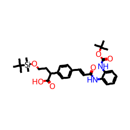 CC(C)(C)OC(=O)Nc1ccccc1NC(=O)C=Cc1ccc(C(CCO[Si](C)(C)C(C)(C)C)C(=O)O)cc1